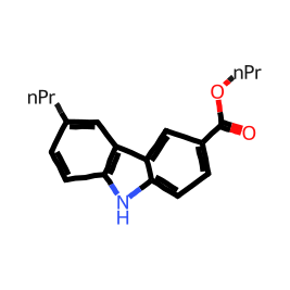 CCCOC(=O)c1ccc2[nH]c3ccc(CCC)cc3c2c1